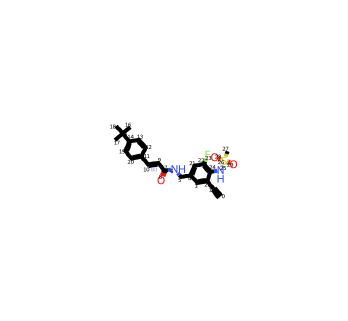 C#Cc1cc(CNC(=O)/C=C/c2ccc(C(C)(C)C)cc2)cc(F)c1NS(C)(=O)=O